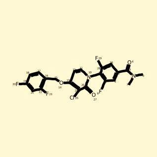 CN(C)C(=O)c1cc(F)c(-n2ccc(OCc3ccc(F)cc3F)c(Cl)c2=O)c(F)c1